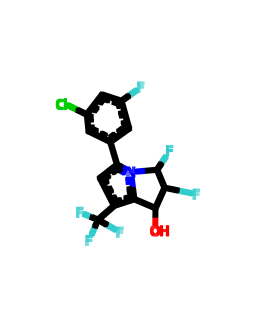 OC1c2c(C(F)(F)F)cc(-c3cc(F)cc(Cl)c3)n2C(F)C1F